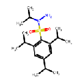 CC(C)c1cc(C(C)C)c(S(=O)(=O)N(N)C(C)C)c(C(C)C)c1